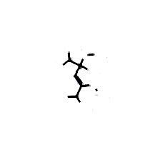 CO/C(=C\C(C)(OC)C(C)C)C(C)C